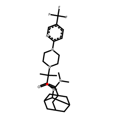 CN(C)C(=O)C12CC3CC(C1)C(NC(=O)C(C)(C)N1CCN(c4ccc(C(F)(F)F)cn4)CC1)C(C3)C2